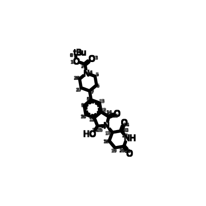 CC(C)(C)OC(=O)N1CCC(c2ccc3c(c2)C(=O)N(C2CCC(=O)NC2=O)C3O)CC1